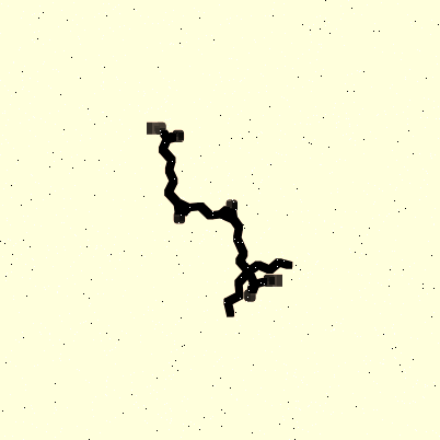 CCCCC(CCCC)(CCCCC1OC1CCC1OC1CCCCCC(=O)O)C(=O)O